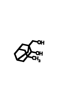 CC12CC3CC(C1)CC(CO)(C3)C2O